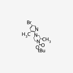 Cc1cc(Br)cnc1N1CCN(C(=O)OC(C)(C)C)[C@H](C)C1